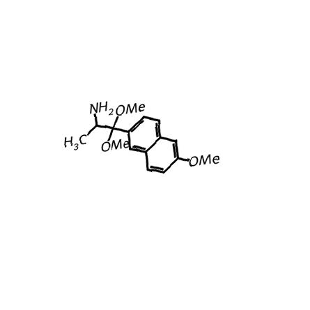 COc1ccc2cc(C(OC)(OC)C(C)N)ccc2c1